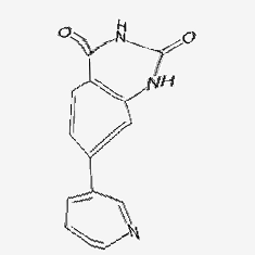 O=c1[nH]c(=O)c2ccc(-c3cccnc3)cc2[nH]1